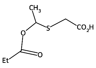 CCC(=O)OC(C)SCC(=O)O